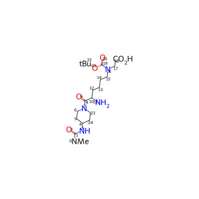 CNC(=O)NC1CCN(C(=O)C(N)CCCCN(CC(=O)O)C(=O)OC(C)(C)C)CC1